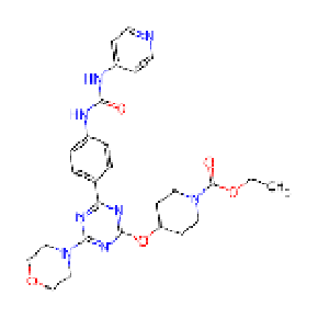 CCOC(=O)N1CCC(Oc2nc(-c3ccc(NC(=O)Nc4ccncc4)cc3)nc(N3CCOCC3)n2)CC1